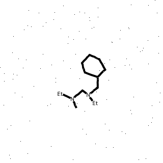 CCN(C)CN(CC)CC1CCCCC1